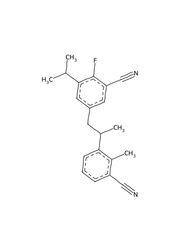 Cc1c(C#N)cccc1C(C)Cc1cc(C#N)c(F)c(C(C)C)c1